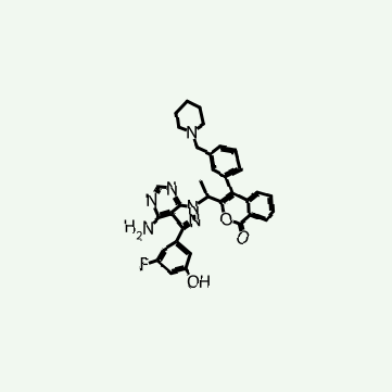 CC(c1oc(=O)c2ccccc2c1-c1cccc(CN2CCCCC2)c1)n1nc(-c2cc(O)cc(F)c2)c2c(N)ncnc21